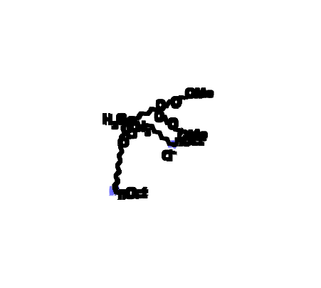 CCCCCCCC/C=C\CCCCCCCCOCC(C[N+](C)(C)CCCCCC(OCCOCCOC)OCCOCCOC)OCCCCCCCC/C=C\CCCCCCCC.[Cl-]